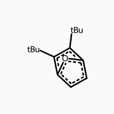 CC(C)(C)c1c(C(C)(C)C)c2ccc1o2